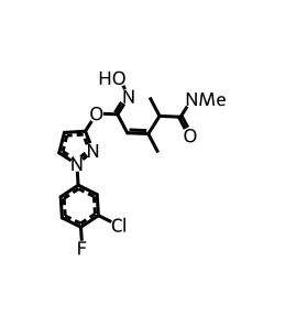 CNC(=O)C(C)/C(C)=C\C(=N\O)Oc1ccn(-c2ccc(F)c(Cl)c2)n1